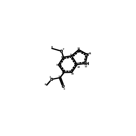 COC(=O)c1cc(OC)c2cn[nH]c2c1